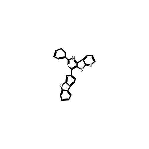 C1=CCCC(c2nc(-c3ccc4c(c3)oc3ccccc34)c3sc4ncccc4c3n2)=C1